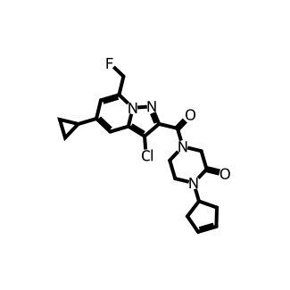 O=C(c1nn2c(CF)cc(C3CC3)cc2c1Cl)N1CCN(C2CC=CC2)C(=O)C1